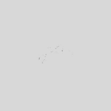 CCC1(CC)Cc2cc3c(cc2C1)[C](C)([Hf]([CH3])([CH3])[C]1(C)C(C)=C(C)C(C)=C1C)C=C3